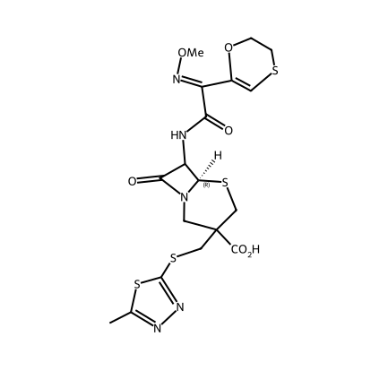 CON=C(C(=O)NC1C(=O)N2CC(CSc3nnc(C)s3)(C(=O)O)CS[C@H]12)C1=CSCCO1